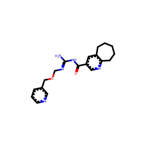 NC(=NCOCc1cccnc1)NC(=O)c1cnc2c(c1)CCCCC2